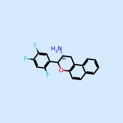 N[C@@H]1Cc2c(ccc3ccccc23)OC1c1cc(F)c(F)cc1F